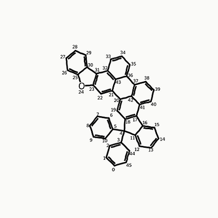 c1ccc(C2(c3ccccc3)c3ccccc3-c3c2cc2c4cc5oc6ccccc6c5c5cccc(c6cccc3c62)c45)cc1